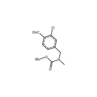 CN(Cc1ccc(C=O)c(Cl)c1)C(=O)OC(C)(C)C